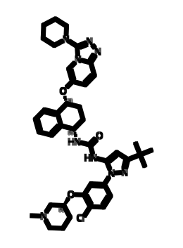 CN1CCC[C@H](Oc2cc(-n3nc(C(C)(C)C)cc3NC(=O)N[C@H]3CC[C@@H](Oc4ccc5nnc(N6CCCCC6)n5c4)c4ccccc43)ccc2Cl)C1